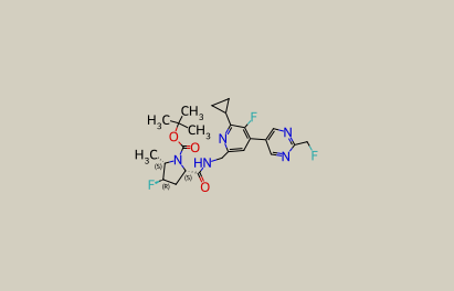 C[C@H]1[C@H](F)C[C@@H](C(=O)NCc2cc(-c3cnc(CF)nc3)c(F)c(C3CC3)n2)N1C(=O)OC(C)(C)C